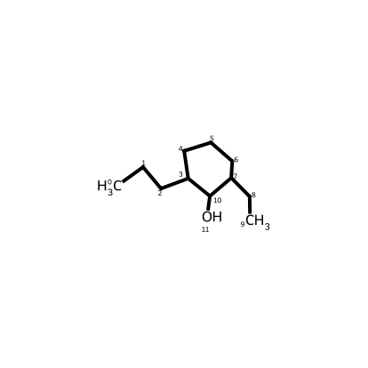 CCCC1CCCC(CC)C1O